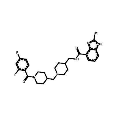 CC(C)c1nc2c(C(=O)NCC3CCN(CC4CCN(C(=O)c5ccc(F)cc5F)CC4)CC3)cccc2[nH]1